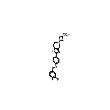 O=C(O)C1CC(N2CCc3oc(-c4ccc(OCc5ccc(F)c(F)c5)cc4)nc3C2)C1